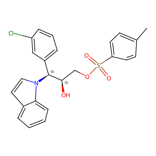 Cc1ccc(S(=O)(=O)OC[C@@H](O)[C@H](c2cccc(Cl)c2)n2ccc3ccccc32)cc1